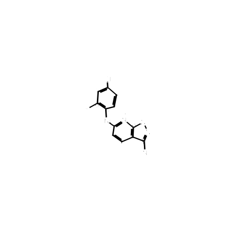 Cc1ccc(Nc2ccc3c(N)n[nH]c3n2)c(F)c1